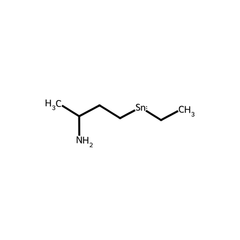 C[CH2][Sn][CH2]CC(C)N